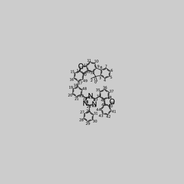 CC1(C)c2ccccc2-c2ccc3oc4ccc(-c5cccc(-c6nc(-c7ccccc7)nc(-c7cccc8oc9ccccc9c78)n6)c5)cc4c3c21